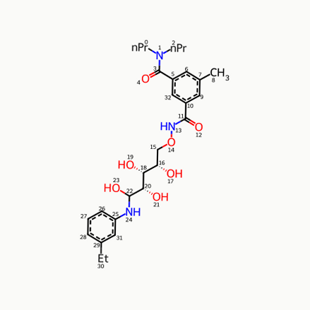 CCCN(CCC)C(=O)c1cc(C)cc(C(=O)NOC[C@H](O)[C@@H](O)[C@H](O)C(O)Nc2cccc(CC)c2)c1